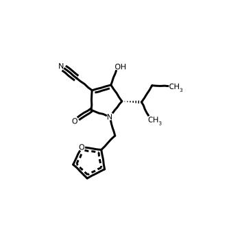 CCC(C)[C@H]1C(O)=C(C#N)C(=O)N1Cc1ccco1